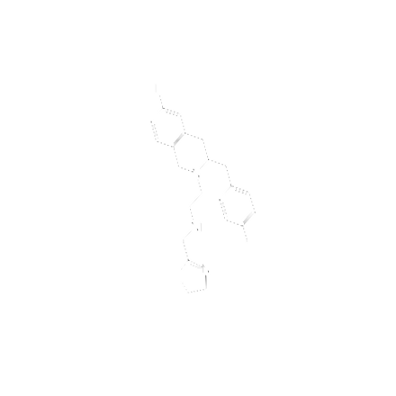 Fc1ccc(CC2Cc3cc(F)ccc3CN2CCNCC2=NCCS2)cc1